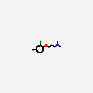 CC1=CCC=C(OCCCN(C)C)C(F)=C1